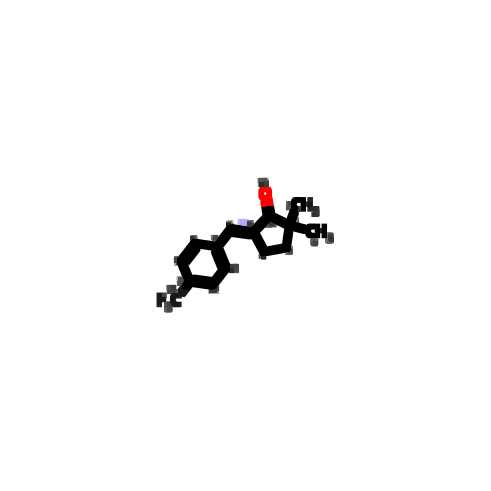 CC1(C)CC/C(=C\c2ccc(C(F)(F)F)cc2)C1=O